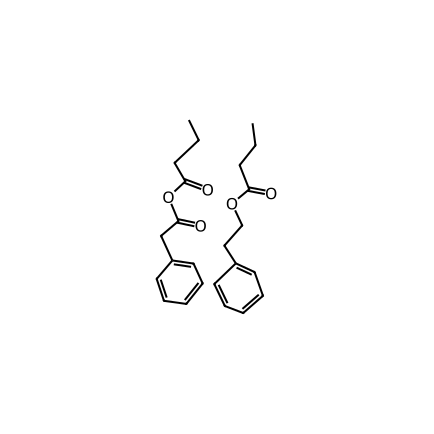 CCCC(=O)OC(=O)Cc1ccccc1.CCCC(=O)OCCc1ccccc1